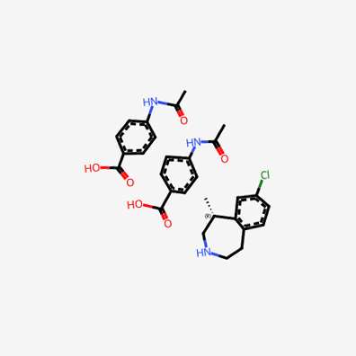 CC(=O)Nc1ccc(C(=O)O)cc1.CC(=O)Nc1ccc(C(=O)O)cc1.C[C@H]1CNCCc2ccc(Cl)cc21